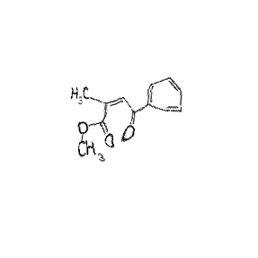 COC(=O)C(C)=CC(=O)c1ccccc1